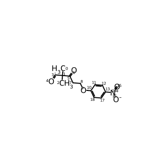 CC(C)([C]=O)C(=O)CCOc1ccc([N+](=O)[O-])cc1